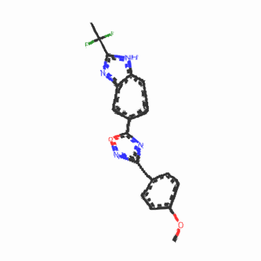 COc1ccc(-c2noc(-c3ccc4[nH]c(C(C)(F)F)nc4c3)n2)cc1